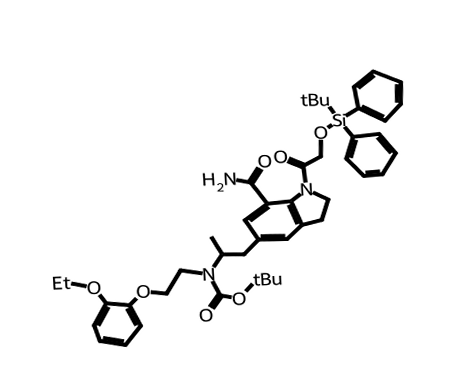 CCOc1ccccc1OCCN(C(=O)OC(C)(C)C)C(C)Cc1cc2c(c(C(N)=O)c1)N(C(=O)CO[Si](c1ccccc1)(c1ccccc1)C(C)(C)C)CC2